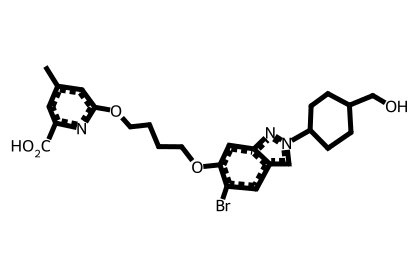 Cc1cc(OCCCCOc2cc3nn(C4CCC(CO)CC4)cc3cc2Br)nc(C(=O)O)c1